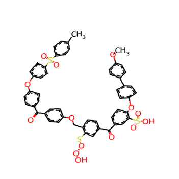 COc1ccc(-c2ccc(Oc3ccc(C(=O)c4ccc(COc5ccc(C(=O)c6ccc(Oc7ccc(S(=O)(=O)c8ccc(C)cc8)cc7)cc6)cc5)c(SOOO)c4)cc3S(=O)(=O)O)cc2)cc1